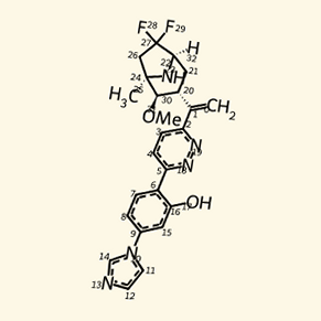 C=C(c1ccc(-c2ccc(-n3ccnc3)cc2O)nn1)[C@H]1C[C@H]2N[C@](C)(CC2(F)F)[C@@H]1OC